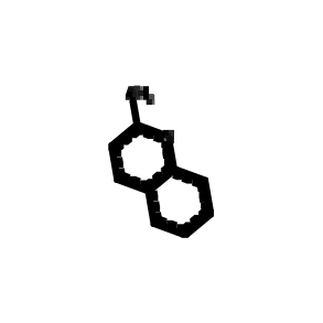 [AlH2][c]1ccc2ccccc2n1